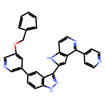 c1ccc(COc2cncc(-c3ccc4[nH]nc(-c5cc6c(-c7ccncc7)nccc6[nH]5)c4c3)c2)cc1